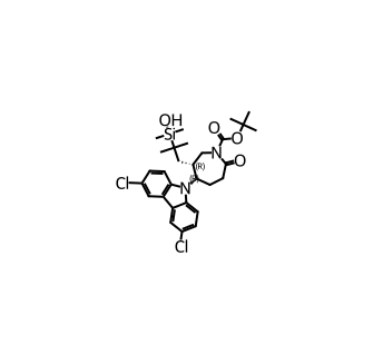 CC(C)(C)OC(=O)N1C[C@@H](CC(C)(C)[Si](C)(C)O)[C@H](n2c3ccc(Cl)cc3c3cc(Cl)ccc32)CCC1=O